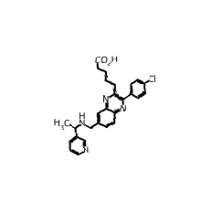 C[C@@H](NCc1ccc2nc(-c3ccc(Cl)cc3)c(CCCCC(=O)O)nc2c1)c1cccnc1